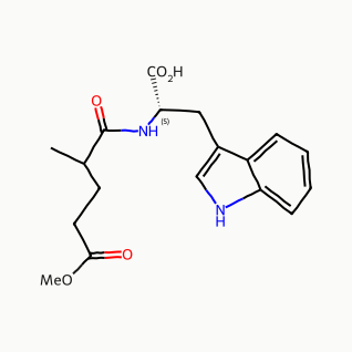 COC(=O)CCC(C)C(=O)N[C@@H](Cc1c[nH]c2ccccc12)C(=O)O